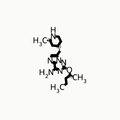 CCC[C@H](C)Oc1nc(N)c2ncc(C[C@H]3CCN[C@@H](C)C3)n2n1